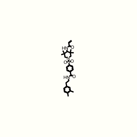 C=CC(=O)NC1C(C)(C)CN(S(=O)(=O)c2ccc(C(=O)NCCc3ccc(C)c(C)c3)cc2)CC1(C)C